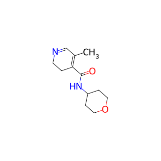 CC1=C(C(=O)NC2CCOCC2)CCN=C1